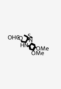 COc1ccc(NC(COC=O)c2ncsc2C)cc1OC